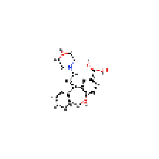 O=C(O)c1ccc2c(c1)C(=CCN1CCOCC1)c1ccccc1CO2